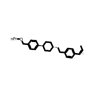 C/C=C\c1ccc(CC[C@H]2CC[C@H](c3ccc(COCCC)cc3)CC2)cc1